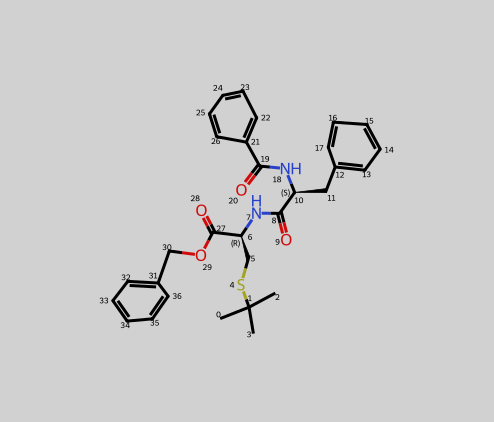 CC(C)(C)SC[C@H](NC(=O)[C@H](Cc1ccccc1)NC(=O)c1ccccc1)C(=O)OCc1ccccc1